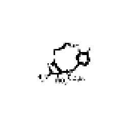 CCOC(=O)N1Cc2ccc(F)c(c2)OC/C=C/COc2cc1c([N+](=O)[O-])c(N)n2